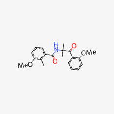 COc1ccccc1C(=O)C(C)(C)NC(=O)c1cccc(OC)c1C